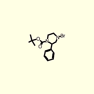 CC(C)(C)OC(=O)N1CCN(Br)CC1c1ccccc1